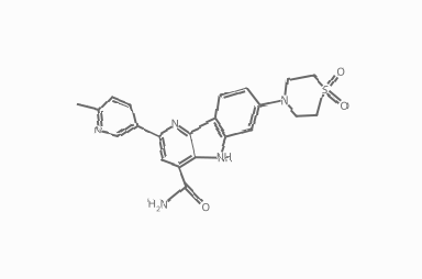 Cc1ccc(-c2cc(C(N)=O)c3[nH]c4cc(N5CCS(=O)(=O)CC5)ccc4c3n2)cn1